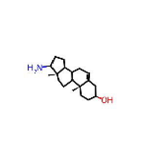 C[C@]12CC[C@H](O)CC1=CCC1C2CC[C@@]2(C)C1CC[C@@H]2N